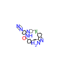 Cc1ccc(C(=O)Nc2ccc(N3CCN(C)CC3)cc2N2CCC(C)CC2)cc1C#Cc1c(N)ncc2ccc(F)cc12